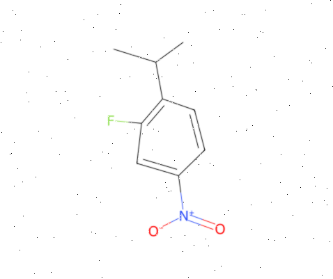 CC(C)c1ccc([N+](=O)[O-])cc1F